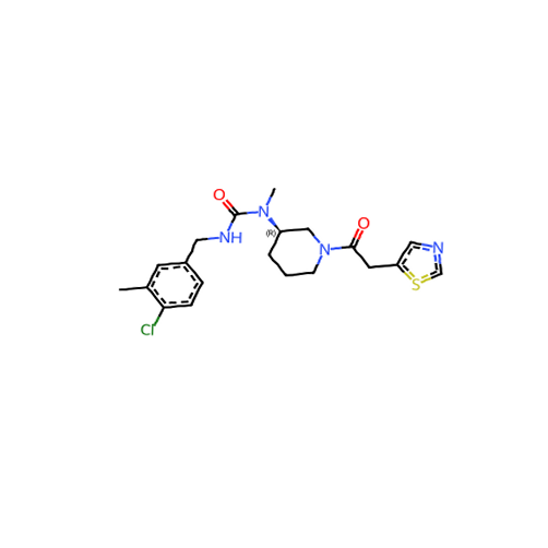 Cc1cc(CNC(=O)N(C)[C@@H]2CCCN(C(=O)Cc3cncs3)C2)ccc1Cl